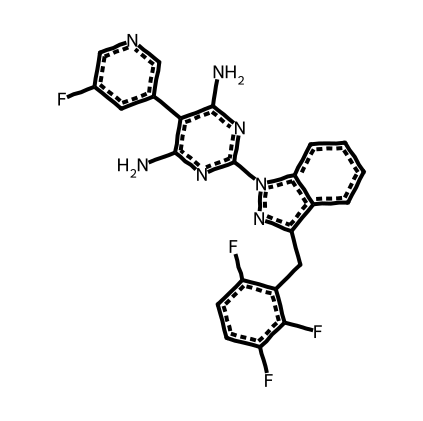 Nc1nc(-n2nc(Cc3c(F)ccc(F)c3F)c3ccccc32)nc(N)c1-c1cncc(F)c1